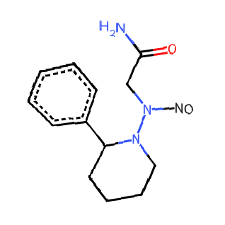 NC(=O)CN(N=O)N1CCCCC1c1ccccc1